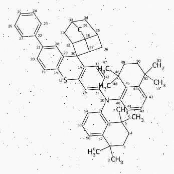 CC1(C)CCC(C)(C)c2c(N(c3ccc4c(c3)Sc3ccc(-c5ccccc5)cc3C43C4CC5CC6CC3C64C5)c3cccc4c3C(C)(C)CCC4(C)C)cccc21